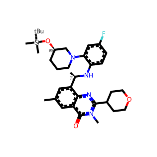 Cc1cc([C@@H](C)Nc2ccc(F)cc2N2CCC[C@@H](O[Si](C)(C)C(C)(C)C)C2)c2nc(C3CCOCC3)n(C)c(=O)c2c1